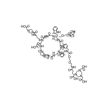 CCCOCC[C@@H]1NC(=O)[C@H](Cc2ccc(CNC(=O)COCCOCCNC(=O)CCC(C(=O)O)N3CCN(CC(=O)O)CCN(CC(=O)O)CC3)cc2)NC(=O)[C@H](Cc2ccccc2)N(C)C(=O)CNC(=O)CNC(=O)[C@H]2CCCN2C(=O)[C@H](CC(=O)O)NC(=O)[C@H](CCCCNC(=O)N2CCN(CC(=O)O)CC2)NC(=O)CNC(=O)[C@H](Cc2c[nH]c3ccccc23)NC1=O.O=C(O)C(F)(F)F